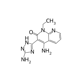 CCn1c(=O)c(-c2nc(N)n[nH]2)c(N)c2cccnc21